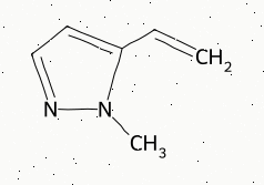 C=Cc1ccnn1C